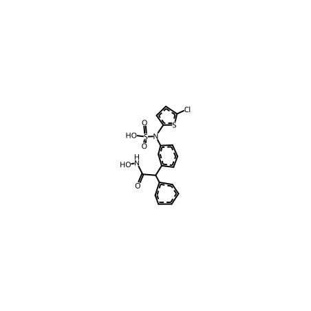 O=C(NO)C(c1ccccc1)c1cccc(N(c2ccc(Cl)s2)S(=O)(=O)O)c1